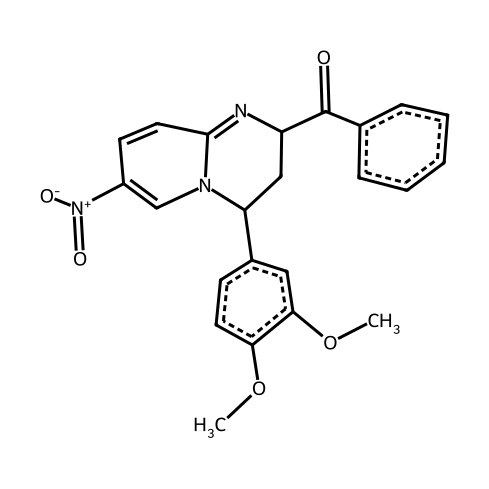 COc1ccc(C2CC(C(=O)c3ccccc3)N=C3C=CC([N+](=O)[O-])=CN32)cc1OC